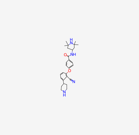 CC1(C)CC(NC(=O)c2ccc(Oc3cccc(C4CCNCC4)c3C#N)cc2)CC(C)(C)N1